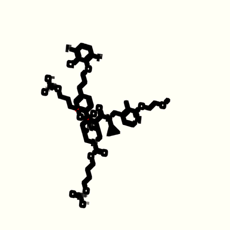 COCCOc1nccc(CN(C(=O)C2=C(c3ccc(CCCOc4c(F)ccc(F)c4Cl)cc3)CC3CN(C(=O)OCCCCO[N+](=O)[O-])CC2N3C(=O)OCCCCO[N+](=O)[O-])C2CC2)c1C